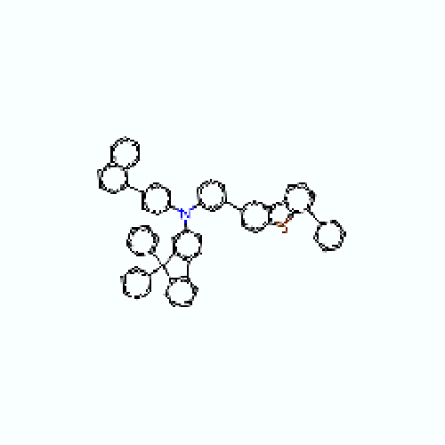 c1ccc(-c2cccc3c2sc2ccc(-c4cccc(N(c5ccc(-c6cccc7ccccc67)cc5)c5ccc6c(c5)C(c5ccccc5)(c5ccccc5)c5ccccc5-6)c4)cc23)cc1